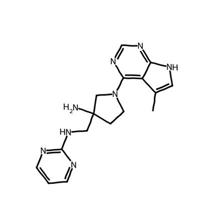 Cc1c[nH]c2ncnc(N3CCC(N)(CNc4ncccn4)C3)c12